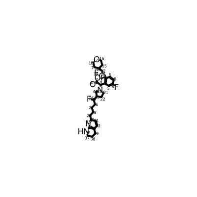 O=C(O)C(c1cc(F)ccc1OCC1(F)CCOCC1)N1CCC(C(F)CCCCc2ccc3c(n2)NCCC3)C1